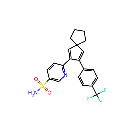 NS(=O)(=O)c1ccc(C2=CC3(C=C2c2ccc(C(F)(F)F)cc2)CCCC3)nc1